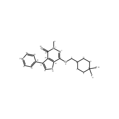 Cn1nc(OCC2CCC(F)(F)CC2)c2scc(-c3ccncc3)c2c1=O